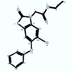 CCOC(=O)Cn1c(=O)sc2cc(Oc3ccccc3)c(Cl)cc21